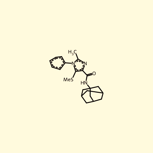 CSc1c(C(=O)NC23CC4CC(CC(C4)C2)C3)nc(C)n1-c1ccccc1